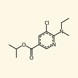 CCN(C)c1ncc(C(=O)OC(C)C)cc1Cl